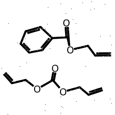 C=CCOC(=O)OCC=C.C=CCOC(=O)c1ccccc1